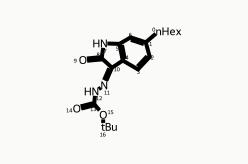 CCCCCCc1ccc2c(c1)NC(=O)C2=NNC(=O)OC(C)(C)C